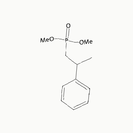 COP(=O)(CC(C)c1ccccc1)OC